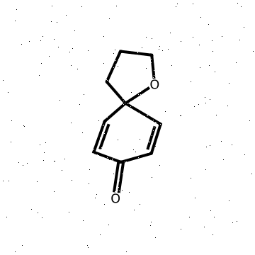 O=C1C=CC2(C=C1)CCCO2